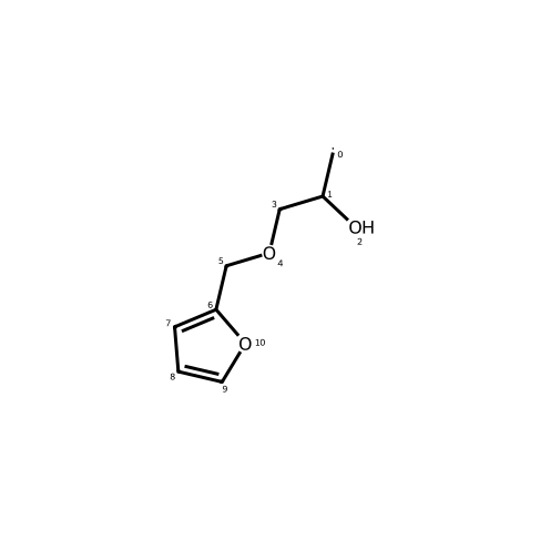 [CH2]C(O)COCc1ccco1